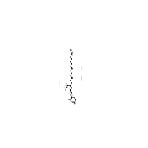 C=C(C)C(CC/C(C)=C/CC/C(C)=C/C=C/C=C/C(=O)OC)OC(=O)COc1ccc(Cl)cc1Cl